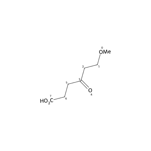 COCCC(=O)CCC(=O)O